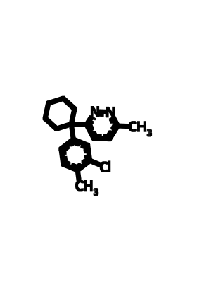 Cc1ccc(C2(c3ccc(C)c(Cl)c3)CCCCC2)nn1